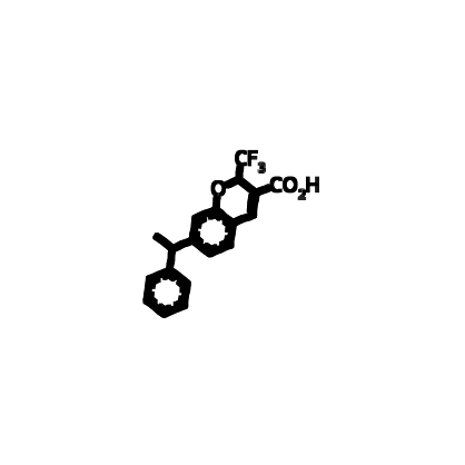 CC(c1ccccc1)c1ccc2c(c1)OC(C(F)(F)F)C(C(=O)O)=C2